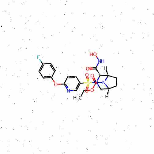 CCOC(=O)N1[C@@H]2CC[C@H]1[C@H](C(=O)NO)N(S(=O)(=O)c1ccc(Oc3ccc(F)cc3)nc1)C2